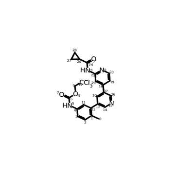 Cc1ccc(NC(=O)OCC(Cl)(Cl)Cl)cc1-c1cncc(-c2ccnc(NC(=O)C3CC3)c2)c1